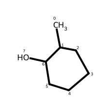 CC1CCC[CH]C1O